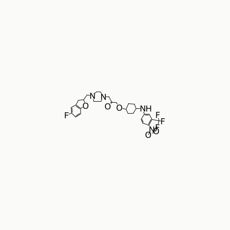 O=C(COC1CCC(Nc2ccc([N+](=O)[O-])c(C(F)(F)F)c2)CC1)CN1CCN(CC2Cc3cc(F)ccc3O2)CC1